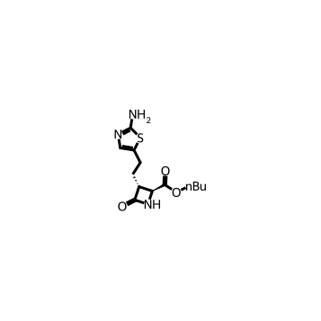 CCCCOC(=O)[C@H]1NC(=O)[C@@H]1CCc1cnc(N)s1